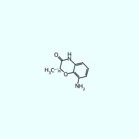 C[C@H]1Oc2c(N)cccc2NC1=O